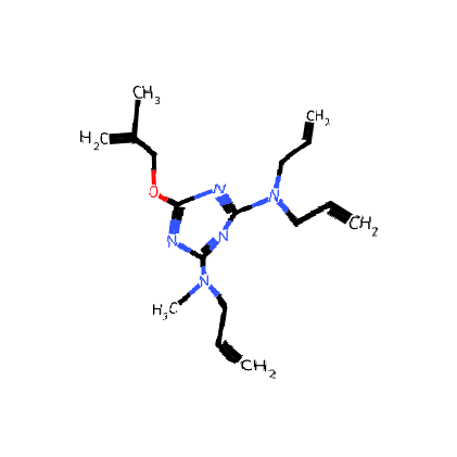 C=CCN(C)c1nc(OCC(=C)C)nc(N(CC=C)CC=C)n1